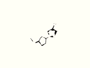 COC1CCC(n2cc(N)cn2)C1